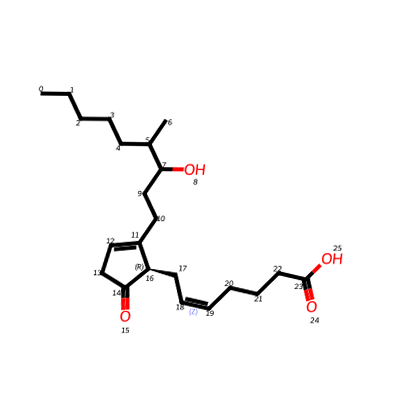 CCCCCC(C)C(O)CCC1=CCC(=O)[C@@H]1C/C=C\CCCC(=O)O